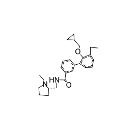 CCc1cccc(-c2cccc(C(=O)NC[C@@H]3CCCN3CC)c2)c1OCC1CC1